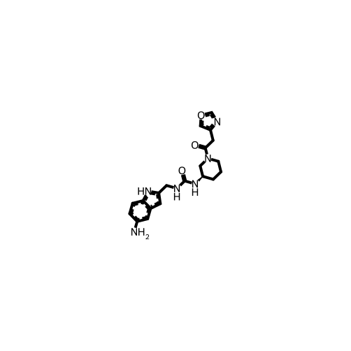 Nc1ccc2[nH]c(CNC(=O)N[C@@H]3CCCN(C(=O)Cc4cocn4)C3)cc2c1